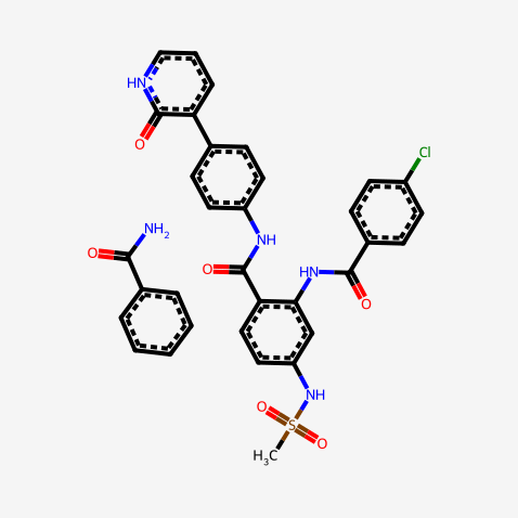 CS(=O)(=O)Nc1ccc(C(=O)Nc2ccc(-c3ccc[nH]c3=O)cc2)c(NC(=O)c2ccc(Cl)cc2)c1.NC(=O)c1ccccc1